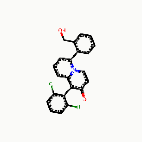 O=c1ccn2c(-c3ccccc3CO)cccc2c1-c1c(Cl)cccc1Cl